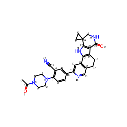 CC(=O)N1CCN(c2ccc(-c3cc4c(cn3)CCc3c-4[nH]c4c3C(=O)NCC43CC3)cc2C#N)CC1